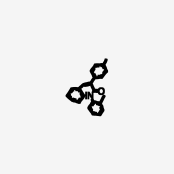 Cc1ccc(C(=Cc2ccccc2)C(=O)Nc2ccccc2C)cc1